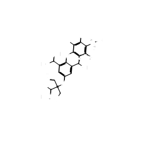 CCC(CC)(Oc1cc(C(C)C)c(Oc2c(F)c(F)c(S(=O)(=O)O)c(F)c2F)c(C(C)C)c1)C(C)C